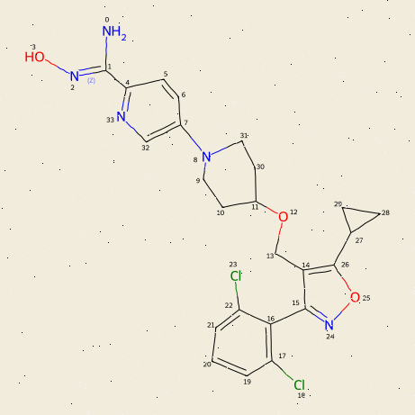 N/C(=N\O)c1ccc(N2CCC(OCc3c(-c4c(Cl)cccc4Cl)noc3C3CC3)CC2)cn1